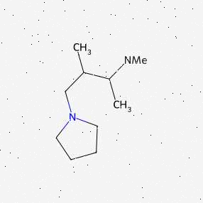 CNC(C)C(C)CN1CCCC1